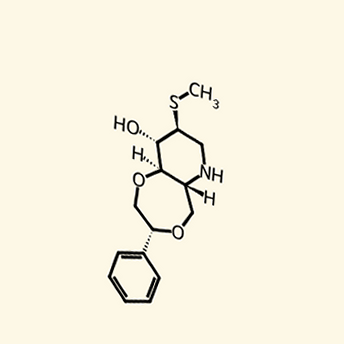 CS[C@H]1CN[C@@H]2CO[C@H](c3ccccc3)CO[C@H]2[C@@H]1O